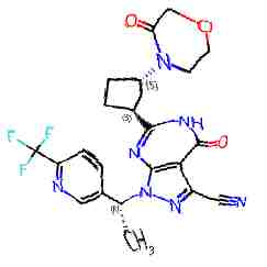 C[C@H](c1ccc(C(F)(F)F)nc1)n1nc(C#N)c2c(=O)[nH]c([C@H]3CC[C@@H]3N3CCOCC3=O)nc21